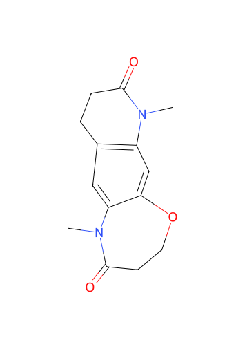 CN1C(=O)CCc2cc3c(cc21)OCCC(=O)N3C